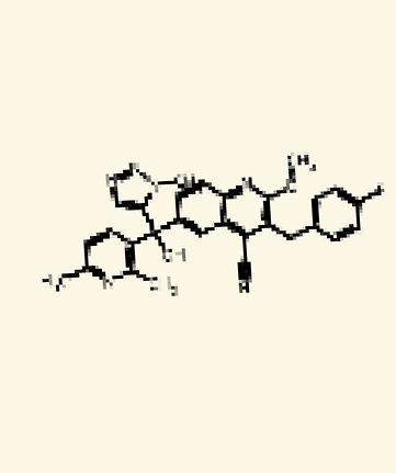 COc1nc2ccc(C(O)(c3ccc(C)nc3C)c3cnnn3C)cc2c(C#N)c1Cc1ccc(F)cc1